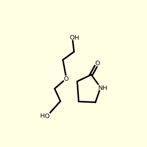 O=C1CCCN1.OCCOCCO